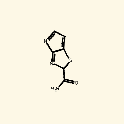 NC(=O)C1N=C2N=CC=C2S1